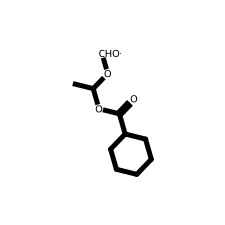 CC(O[C]=O)OC(=O)C1CCCCC1